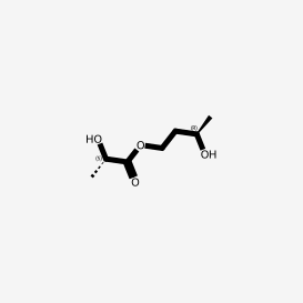 C[C@H](O)C(=O)OCC[C@@H](C)O